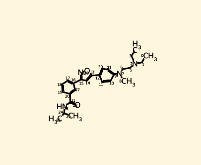 CCN(CC)CCN(C)c1ccc(-c2cc(-c3cccc(C(=O)NC(C)C)c3)no2)cc1